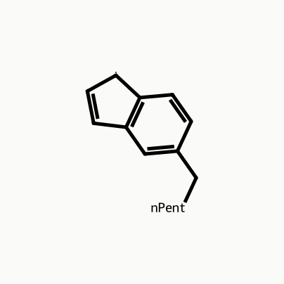 CCCCCCc1ccc2c(c1)C=C[CH]2